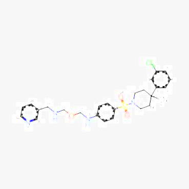 N#CC1(c2cccc(Cl)c2)CCN(S(=O)(=O)c2ccc(NCOCNCc3cccnc3)cc2)CC1